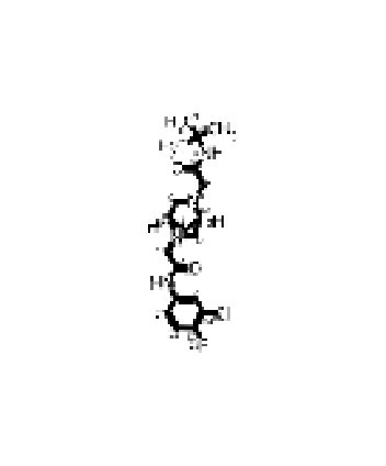 CC(C)(C)NC(=O)CN1C[C@H]2C[C@@H]1CN2CC(=O)Nc1ccc(F)c(Cl)c1